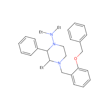 CCC1C(c2ccccc2)N(N(CC)CC)CCN1Cc1ccccc1OCc1ccccc1